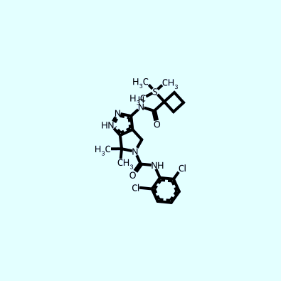 CC1(C)c2[nH]nc(NC(=O)C3(S(C)(C)C)CCC3)c2CN1C(=O)Nc1c(Cl)cccc1Cl